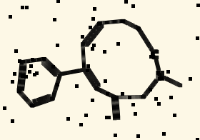 C=C1/C=C(c2ccccc2)\C=C/CCCN(C)C1